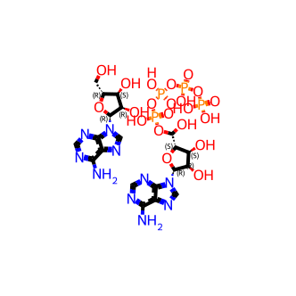 Nc1ncnc2c1ncn2[C@@H]1O[C@H](C(O)OP(=O)(O)OP(=O)(O)OP(=O)(O)OP(=O)(O)O)[C@@H](O)[C@H]1O.Nc1ncnc2c1ncn2[C@@H]1O[C@H](CO)[C@@H](O)[C@H]1O